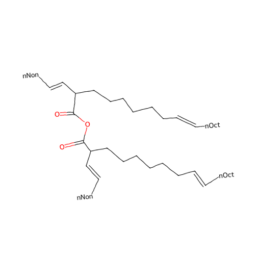 CCCCCCCCC=CCCCCCCC(C=CCCCCCCCCC)C(=O)OC(=O)C(C=CCCCCCCCCC)CCCCCCC=CCCCCCCCC